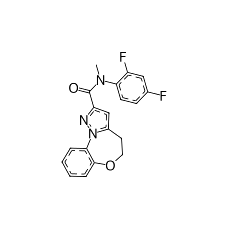 CN(C(=O)c1cc2n(n1)-c1ccccc1OCC2)c1ccc(F)cc1F